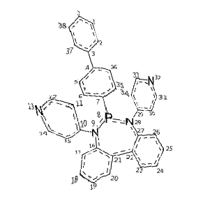 c1ccc(-c2ccc(-p3n(-c4ccncc4)c4ccccc4c4ccccc4n3-c3ccncc3)cc2)cc1